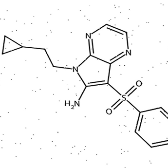 Nc1c(S(=O)(=O)c2ccccc2)c2nccnc2n1CCC1CC1